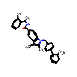 Cc1c(C)n(Cc2ccc(-c3ccccc3C(=O)O)cc2)c2ccc(C(=O)N[C@@H](C)c3ccccc3C#N)cc12